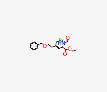 CCOC(=O)C(C=C(CBr)CCOCc1ccccc1)NC=O